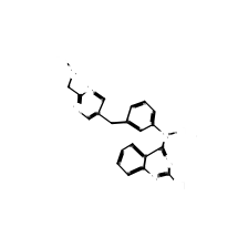 Cc1nc(N(C)c2cccc(Cc3cnc(CNO)nc3)c2)c2ccccc2n1